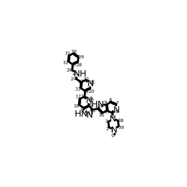 CN1CCN(c2nccc3[nH]c(-c4n[nH]c5ccc(-c6cncc(CNCc7ccccc7)c6)nc45)cc23)CC1